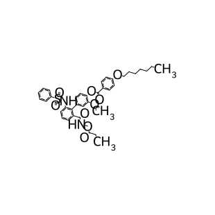 CCCCCCCOc1ccc(C(=O)Oc2ccc(-c3c(NS(=O)(=O)c4ccccc4)cccc3C(=O)NOC(=O)CC)cc2OC)cc1